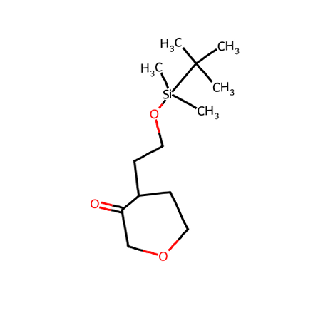 CC(C)(C)[Si](C)(C)OCCC1CCOCC1=O